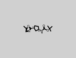 Cc1cnc([C@H]2CC[C@@H](N(C)C(=O)OC(C)(C)C)C2)o1